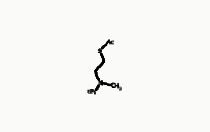 CCCN(C)CCSC(C)=O